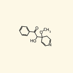 COC1(C(O)C(=O)c2ccccc2)C=CN=CC1